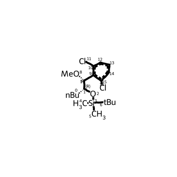 CCCC[C@@H](O[Si](C)(C)C(C)(C)C)[C@H](OC)c1c(Cl)cccc1Cl